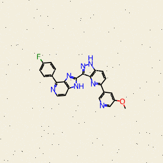 COc1cncc(-c2ccc3[nH]nc(-c4nc5c(-c6ccc(F)cc6)nccc5[nH]4)c3n2)c1